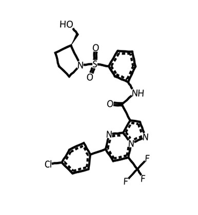 O=C(Nc1cccc(S(=O)(=O)N2CCC[C@H]2CO)c1)c1cnn2c(C(F)(F)F)cc(-c3ccc(Cl)cc3)nc12